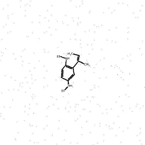 C/C=C(/C)c1cc(NCC)ccc1NCC